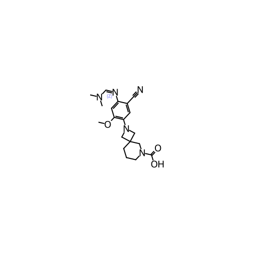 COc1cc(/N=C\N(C)C)c(C#N)cc1N1CC2(CCCN(C(=O)O)C2)C1